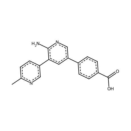 Cc1ccc(-c2cc(-c3ccc(C(=O)O)cc3)cnc2N)cn1